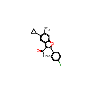 COC(=O)c1c(-c2ccc(F)cc2)oc2cc([N+](=O)[O-])c(C3CC3)cc12